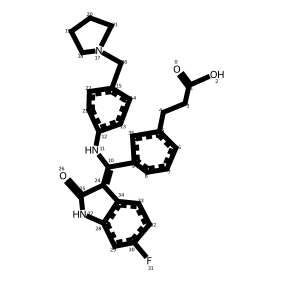 O=C(O)CCc1cccc(/C(Nc2ccc(CN3CCCC3)cc2)=C2/C(=O)Nc3cc(F)ccc32)c1